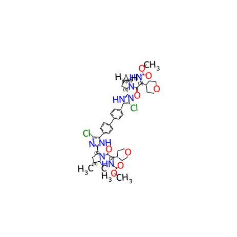 COC(=O)N[C@H](C(=O)N1C(C)[C@H](C)C[C@H]1c1nc(Cl)c(-c2ccc(-c3ccc(-c4[nH]c([C@@H]5C[C@H]6C[C@H]6N5C(=O)[C@@H](NC(=O)OC)C5CCOCC5)nc4Cl)cc3)cc2)[nH]1)C1CCOCC1